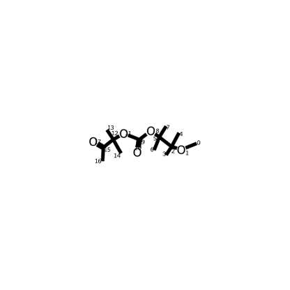 COC(C)(C)C(C)(C)OC(=O)OC(C)(C)C(C)=O